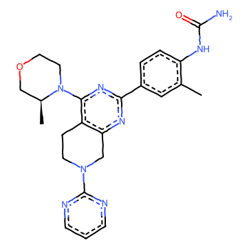 Cc1cc(-c2nc3c(c(N4CCOC[C@@H]4C)n2)CCN(c2ncccn2)C3)ccc1NC(N)=O